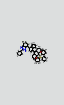 Cn1c(-c2ccccc2)nc2cccc(-c3ccc(-c4c5ccccc5c(S(c5ccccc5)(c5ccccc5)c5ccccc5)c5ccccc45)c4ccccc34)c21